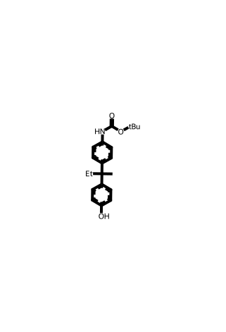 CCC(C)(c1ccc(O)cc1)c1ccc(NC(=O)OC(C)(C)C)cc1